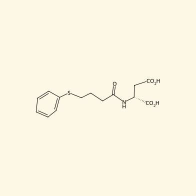 O=C(O)C[C@@H](NC(=O)CCCSc1ccccc1)C(=O)O